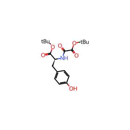 CC(C)(C)OC(=O)C(=O)N[C@@H](Cc1ccc(O)cc1)C(=O)OC(C)(C)C